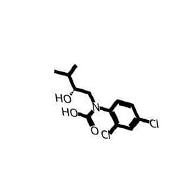 CC(C)[C@@H](O)CN(C(=O)O)c1ccc(Cl)cc1Cl